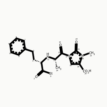 CCC(=O)[C@H](CCc1ccccc1)N[C@@H](C)C(=O)n1cc(C(=O)O)n(C)c1=O